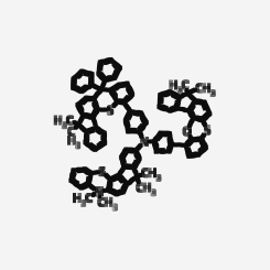 CC1(C)c2ccccc2-c2c1ccc1c2Oc2c(cccc2-c2ccc(N(c3ccc(-c4cccc5c4Sc4c(ccc6c4-c4ccccc4C6(C)C)C5(c4ccccc4)c4ccccc4)cc3)c3ccc4c(c3)C(C)(C)c3ccc5c(c3-4)Sc3ccccc3[Si]5(C)C)cc2)S1